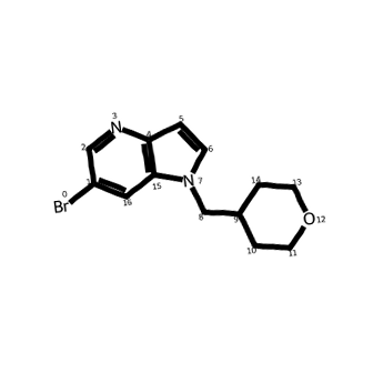 Brc1cnc2ccn(CC3CCOCC3)c2c1